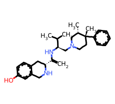 C=C(N[C@H](CN1CC[C@@](C)(c2ccccc2)[C@@H](C)C1)C(C)C)[C@H]1Cc2ccc(O)cc2CN1